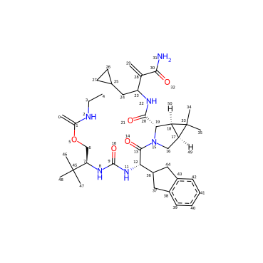 C=C(NCC)OC[C@@H](NC(=O)N[C@H](C(=O)N1C[C@H]2[C@@H]([C@H]1C(=O)NC(CC1CC1)C(=C)C(N)=O)C2(C)C)C1Cc2ccccc2C1)C(C)(C)C